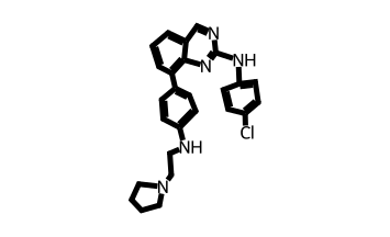 Clc1ccc(Nc2ncc3cccc(-c4ccc(NCCN5CCCC5)cc4)c3n2)cc1